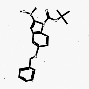 CB(O)c1cc2cc(OCc3ccccc3)ccc2n1C(=O)OC(C)(C)C